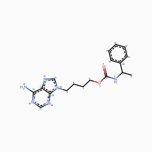 CC(NC(=O)OCCCCn1cnc2c(N)ncnc21)c1ccccc1